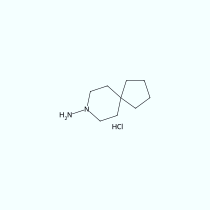 Cl.NN1CCC2(CCCC2)CC1